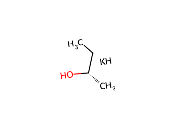 CC[C@H](C)O.[KH]